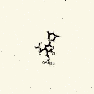 CC1CC(C)CN(c2cc(C(=O)N(C)C)c(/C=N/[S+]([O-])C(C)(C)C)c(Cl)n2)C1